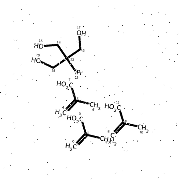 C=C(C)C(=O)O.C=C(C)C(=O)O.C=C(C)C(=O)O.CC(C)C(CO)(CO)CO